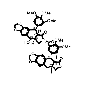 COc1cc([C@@H]2c3cc4c(cc3C[C@H]3COC(=O)[C@@H]32)OCO4)cc(OC)c1OC.COc1cc([C@@H]2c3cc4c(cc3[C@H](O)[C@H]3COC(=O)[C@H]23)OCO4)cc(OC)c1OC